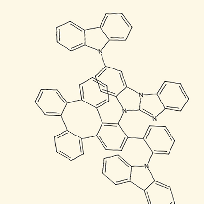 c1ccc2c(c1)-c1ccccc1-c1ccc(-c3ccccc3-n3c4ccccc4c4ccccc43)c(-n3c4ccc(-n5c6ccccc6c6ccccc65)cc4n4c5ccccc5nc34)c1-c1ccccc1-2